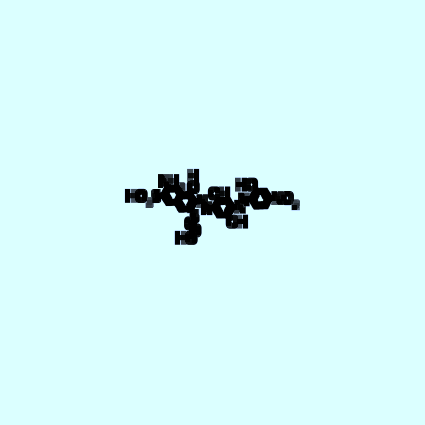 Nc1cc2c(O)c(N=Nc3cc(O)c(N=Nc4ccc([N+](=O)[O-])cc4O)cc3O)c(SOOO)cc2cc1S(=O)(=O)O